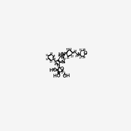 OC[C@H]1O[C@@H](n2cc(-c3ccccc3)c3c2N=CN(Nc2ccc(CCN4CCOCC4)cc2)C3)[C@@H](O)[C@H]1O